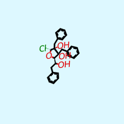 OC(Cc1ccccc1)[C@H]1O[C@H](Cl)[C@](O)(Cc2ccccc2)[C@@]1(O)Cc1ccccc1